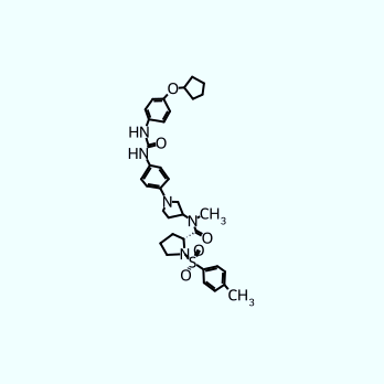 Cc1ccc(S(=O)(=O)N2CCC[C@@H]2C(=O)N(C)C2CCN(c3ccc(NC(=O)Nc4ccc(OC5CCCC5)cc4)cc3)C2)cc1